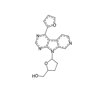 OCC1CCC(n2c3cnccc3c3c(-c4ccco4)ncnc32)O1